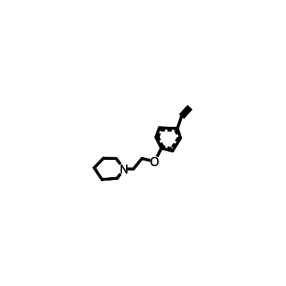 C#Cc1ccc(OCCN2CCCCC2)cc1